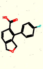 O=C(O)c1ccc2c(c1-c1ccc(F)cc1)COC2